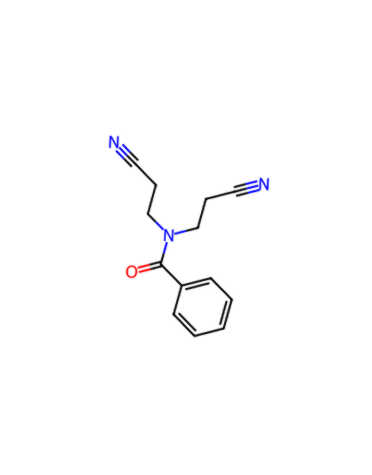 N#CCCN(CCC#N)C(=O)c1ccccc1